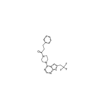 O=C(CCc1ccccc1)N1CCN(c2ncnc3sc(CC(F)(F)F)cc23)CC1